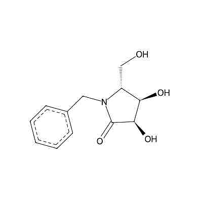 O=C1[C@H](O)[C@H](O)[C@@H](CO)N1Cc1ccccc1